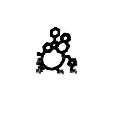 CN1CCN(Cc2cnn(C)c2)[C@H]2COc3ccccc3-c3c(C4CCCCC4)c4ccc(cc4n3C2)C(=O)NS(=O)(=O)N(C)CC1